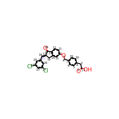 O=C(O)Cc1ccc(COc2ccc3c(c2)C/C(=C\c2cc(Cl)cc(Cl)c2)C3=O)cc1